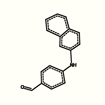 O=Cc1ccc(Nc2ccc3ccccc3c2)cc1